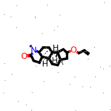 C=CCOC1C[C@H]2[C@@H]3CCC4N(C)C(=O)CC[C@]4(C)[C@@H]3CC[C@]2(C)C1